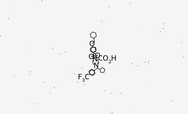 O=C(O)C1CN(C(c2ccc(C(F)(F)F)cc2)C2CCCC2)CCN1S(=O)(=O)c1ccc(OCC2CCCCC2)cc1